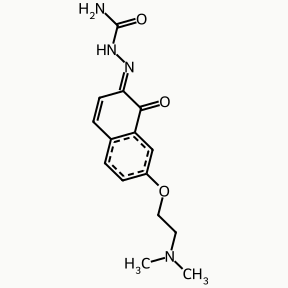 CN(C)CCOc1ccc2c(c1)C(=O)/C(=N/NC(N)=O)C=C2